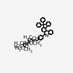 CC1(C)OB(B2OC(C)(C)C(C)(CCc3ccc(-c4nc5ccccc5c5c6c(ccc45)C(c4ccccc4)(c4ccccc4)c4ccccc4-6)cc3)O2)OC1(C)C